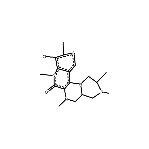 Cc1ncc2c3c(c(=O)n(C)c2c1Cl)N(C)CC1CN(C)C(C)CN31